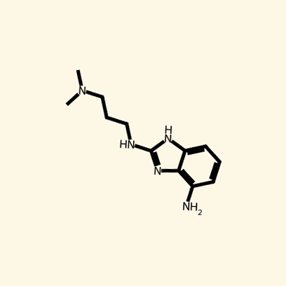 CN(C)CCCNc1nc2c(N)cccc2[nH]1